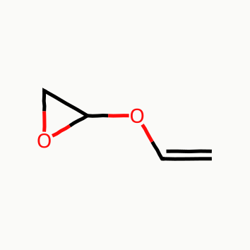 C=COC1CO1